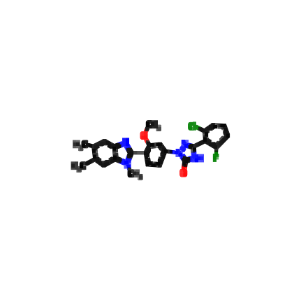 COc1cc(-n2nc(-c3c(F)cccc3Cl)[nH]c2=O)ccc1-c1nc2cc(C)c(C)cc2n1C